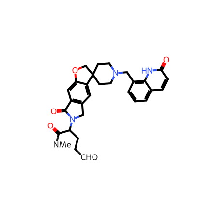 CNC(=O)C(CCC=O)N1Cc2cc3c(cc2C1=O)OCC31CCN(Cc2cccc3ccc(=O)[nH]c23)CC1